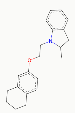 CC1Cc2ccccc2N1CCOc1ccc2c(c1)CCCC2